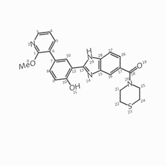 COc1ncccc1-c1ccc(O)c(-c2nc3cc(C(=O)N4CCSCC4)ccc3[nH]2)c1